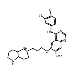 COc1cc2ncnc(Nc3ccc(F)c(Cl)c3)c2cc1OCCCC1CCC2NCCCC2N1